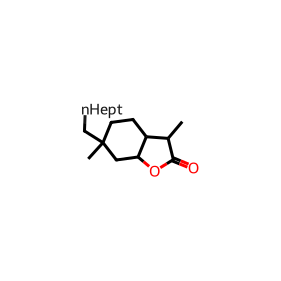 CCCCCCCCC1(C)CCC2C(C1)OC(=O)C2C